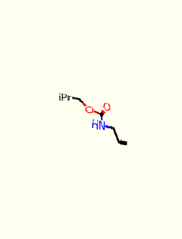 C=CCNC(=O)OCC(C)C